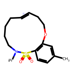 Cc1ccc2c(c1)OCC/C=C/CCCCN(C(C)C)S2(=O)=O